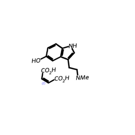 CNCCc1c[nH]c2ccc(O)cc12.O=C(O)/C=C\C(=O)O